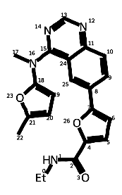 CCNC(=O)c1ccc(-c2ccc3ncnc(N(C)c4ccc(C)o4)c3c2)o1